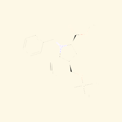 C=C[C@H]1[C@H](CO[Si](C)(C)C(C)(C)C)C[C@H](C(=O)OC(C)(C)C)N1Cc1ccccc1